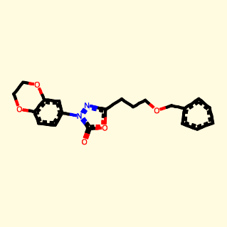 O=c1oc(CCCOCc2ccccc2)nn1-c1ccc2c(c1)OCCO2